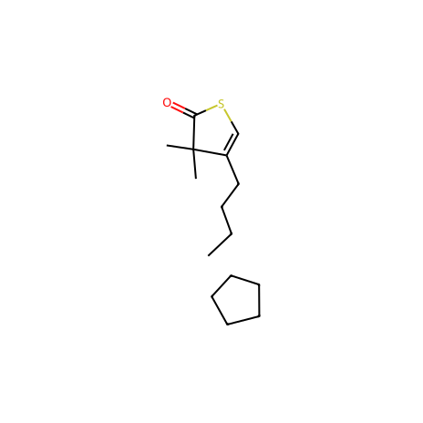 C1CCCC1.CCCCC1=CSC(=O)C1(C)C